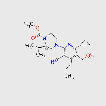 CCCc1c(C#N)c(N2CCN(C(=O)OC)[C@H](C(C)C)C2)nc(C2CC2)c1CO